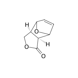 O=C1OC[C@H]2C3C=CC(O3)[C@@H]12